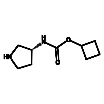 O=C(N[C@@H]1CCNC1)OC1CCC1